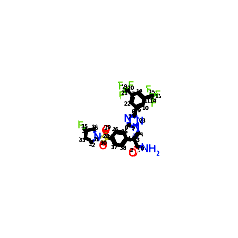 NC(=O)/C(=C/n1cnc(-c2cc(C(F)(F)F)cc(C(F)(F)F)c2)n1)c1ccc(S(=O)(=O)N2CCC(F)C2)cc1